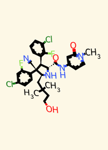 Cn1ccc(NC(=O)[C@@H]2N[C@@H](CC(C)(C)CCO)[C@](C#N)(c3ccc(Cl)cc3F)[C@H]2c2cccc(Cl)c2F)cc1=O